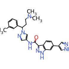 Cc1cccc(C(CCN(C)C)n2cc(NC(=O)c3n[nH]c4cc(-c5cn[nH]c5)ccc34)cn2)c1